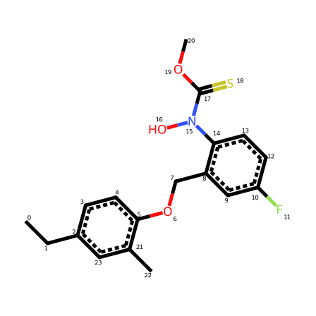 CCc1ccc(OCc2cc(F)ccc2N(O)C(=S)OC)c(C)c1